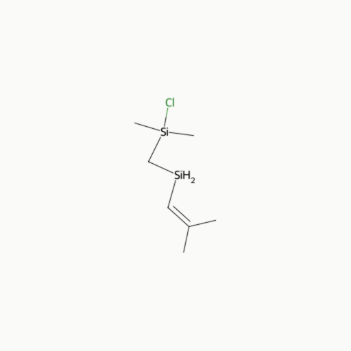 CC(C)=C[SiH2]C[Si](C)(C)Cl